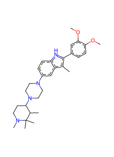 COc1ccc(-c2[nH]c3ccc(N4CCN(C5CCN(C)C(C)(C)C5C)CC4)cc3c2C)cc1OC